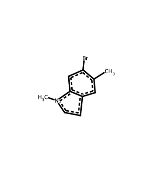 Cc1cc2ccn(C)c2cc1Br